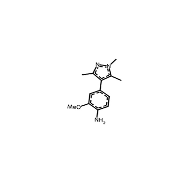 COc1cc(-c2c(C)nn(C)c2C)ccc1N